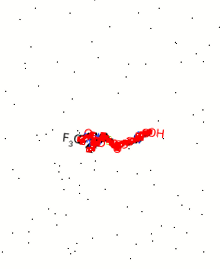 O=C(COCCSCc1cccc(C(=O)Nc2ccc(N3CCCCC3)cc2-c2cc(C(=O)NCc3cccc(C(F)(F)F)c3)ccn2)c1)OCCOCCOCCCN1CCN(CCOCCO)CC1